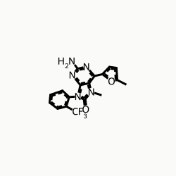 Cc1ccc(-c2nc(N)nc3c2n(C)c(=O)n3-c2ccccc2C(F)(F)F)o1